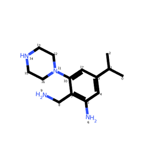 CC(C)c1cc(N)c(CN)c(N2CCNCC2)c1